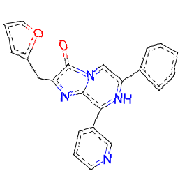 O=c1c(Cc2ccco2)nc2c(-c3cccnc3)[nH]c(-c3ccccc3)cn1-2